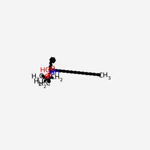 C=CCC1O[C@H](OC[C@H](NC(=O)C#CC#CC#CC#CC#CC#CC#CC#CC#CC#CC#CC#CC)[C@H](O)CCCCc2ccccc2)[C@@H](C=C)C(C=C)[C@H]1C=C